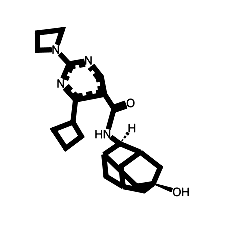 O=C(N[C@H]1C2CC3CC1C[C@@](O)(C3)C2)c1cnc(N2CCC2)nc1C1CCC1